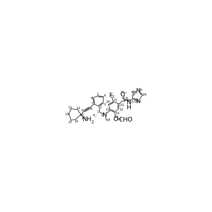 C[C@H](c1ccccc1C#CC1(N)CCCCC1)N(C)c1cc(F)c([S+]([O-])Nc2ncns2)cc1OC=O